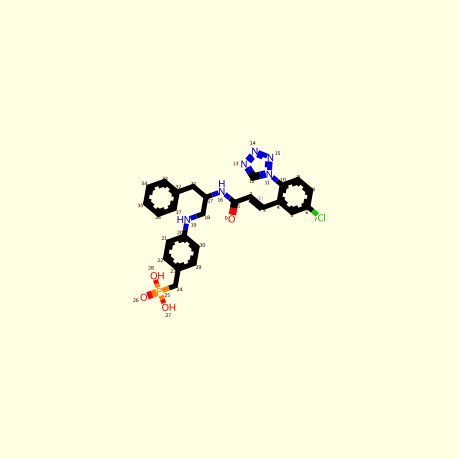 O=C(/C=C/c1cc(Cl)ccc1-n1cnnn1)NC(CNc1ccc(CP(=O)(O)O)cc1)Cc1ccccc1